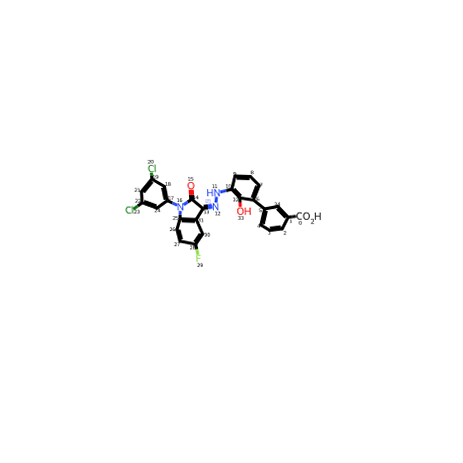 O=C(O)c1cccc(-c2cccc(N/N=C3\C(=O)N(c4cc(Cl)cc(Cl)c4)c4ccc(F)cc43)c2O)c1